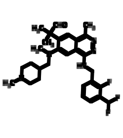 Cc1nnc(NCc2cccc(C(F)F)c2F)c2cc(N(C)CC3CCN(C)CC3)c(C(C)(C)C=O)cc12